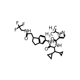 CC(C)n1nccc1C(=O)N[C@H](C(=O)Nc1ccc2c(c1)CCC2CC(=O)NCC(F)(F)F)C(C1CC1)C1CC1